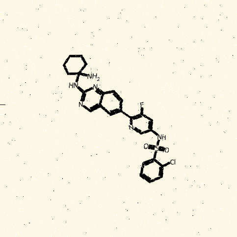 NC1(Nc2ncc3cc(-c4ncc(NS(=O)(=O)c5ccccc5Cl)cc4F)ccc3n2)CCCCC1